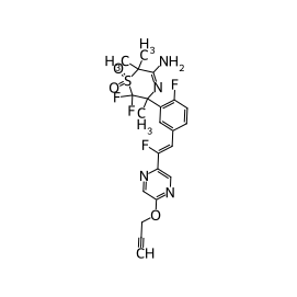 C#CCOc1cnc(C(F)=Cc2ccc(F)c(C3(C)N=C(N)C(C)(C)S(=O)(=O)C3(F)F)c2)cn1